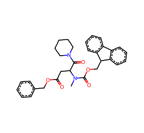 CN(C(=O)OCC1c2ccccc2-c2ccccc21)C(CC(=O)OCc1ccccc1)C(=O)N1CCCCC1